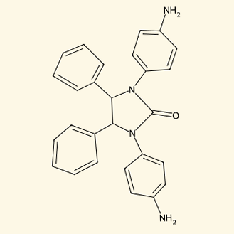 Nc1ccc(N2C(=O)N(c3ccc(N)cc3)C(c3ccccc3)C2c2ccccc2)cc1